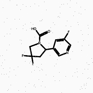 O=C(O)N1CC(F)(F)CC1c1cncc(F)c1